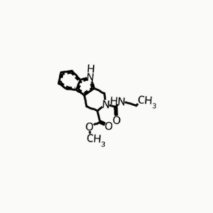 CCNC(=O)N1Cc2[nH]c3ccccc3c2CC1C(=O)OC